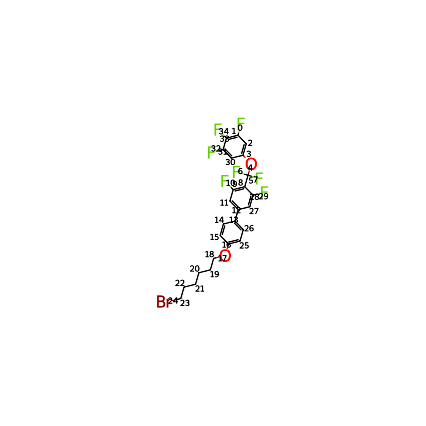 Fc1cc(OC(F)(F)c2c(F)cc(-c3ccc(OCCCCCCBr)cc3)cc2F)cc(F)c1F